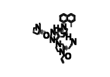 C=CC(=O)N1CCN(c2nc(OC[C@@H]3CCCN3C)nc3c2C[C@@H]2C[C@H]3N(c3cccc4cccc(C)c34)C2)C[C@@H]1CC#N